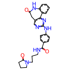 O=C1Cc2cnc(Nc3ccc(C(=O)NCCCN4CCCC4=O)cc3)nc2-c2ccccc2N1